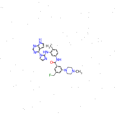 Cc1ccc(NC(=O)c2cc(CF)cc(N3CCN(C)CC3)c2)cc1Nc1nccn1-c1ncnc2[nH]ccc12